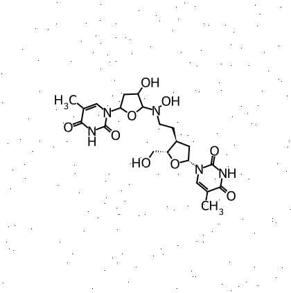 Cc1cn(C2CC(O)C(N(O)CC[C@H]3C[C@H](n4cc(C)c(=O)[nH]c4=O)O[C@@H]3CO)O2)c(=O)[nH]c1=O